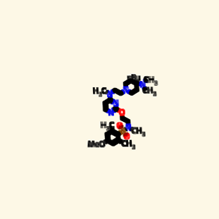 CCCCC1(N(C)C)CCN(CCN(C)c2ccnc(OCCN(C)S(=O)(=O)c3c(C)cc(OC)cc3C)n2)CC1